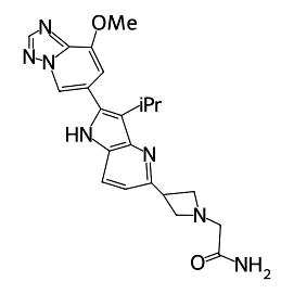 COc1cc(-c2[nH]c3ccc(C4CN(CC(N)=O)C4)nc3c2C(C)C)cn2ncnc12